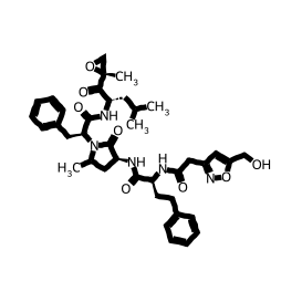 CC(C)C[C@H](NC(=O)[C@H](Cc1ccccc1)N1C(=O)[C@@H](NC(=O)[C@H](CCc2ccccc2)NC(=O)Cc2cc(CO)on2)CC1C)C(=O)[C@@]1(C)CO1